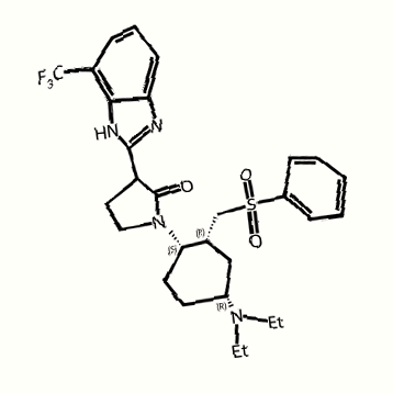 CCN(CC)[C@@H]1CC[C@H](N2CCC(c3nc4cccc(C(F)(F)F)c4[nH]3)C2=O)[C@H](CS(=O)(=O)c2ccccc2)C1